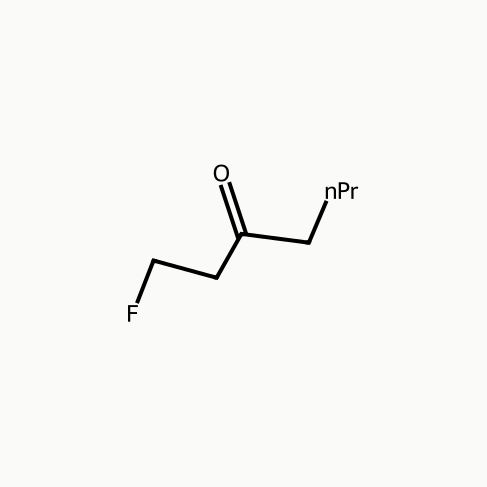 CCCCC(=O)CCF